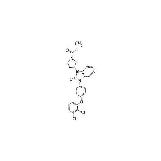 C=CC(=O)N1CC[C@@H](n2c(=O)n(-c3ccc(Oc4cccc(Cl)c4Cl)cc3)c3cnccc32)C1